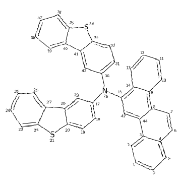 c1ccc2c(c1)ccc1c3ccccc3c(N(c3ccc4sc5ccccc5c4c3)c3ccc4sc5ccccc5c4c3)cc21